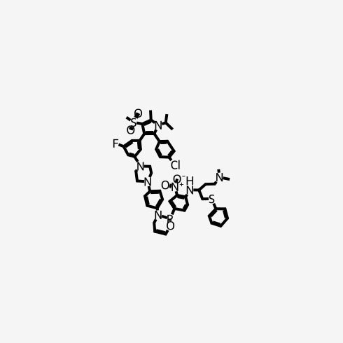 Cc1c(S(C)(=O)=O)c(-c2cc(F)cc(N3CCN(c4ccc(N5CC=COP5c5ccc(NC(CCN(C)C)CSc6ccccc6)c([N+](=O)[O-])c5)cc4)CC3)c2)c(-c2ccc(Cl)cc2)n1C(C)C